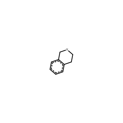 c1ccc2c(c1)C[CH2][Y][CH2]2